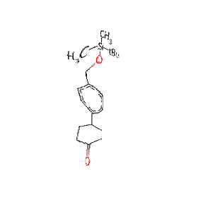 CC(C)(C)[Si](C)(C)OCc1ccc(C2CCC(=O)CC2)cc1